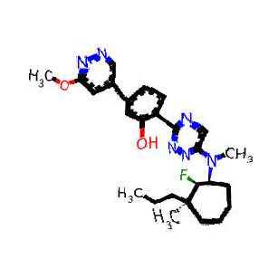 CCC[C@]1(C)CCCC[C@H](N(C)c2cnc(-c3ccc(-c4cnnc(OC)c4)cc3O)nn2)[C@@H]1F